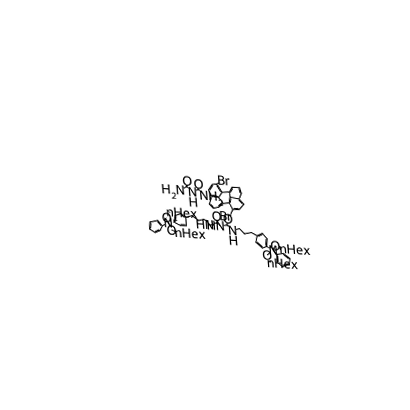 Brc1ccc2cccc3c4c(Br)ccc5cccc(c1c23)c54.CCCCCCO[N+](OCCCCCC)(c1ccccc1)c1ccc(CCCNC(=O)NC(=O)NCCCc2ccc([N+](OCCCCCC)(OCCCCCC)c3ccccc3)cc2)cc1.NC(=O)NC(N)=O